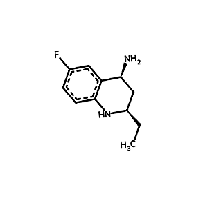 CC[C@@H]1C[C@H](N)c2cc(F)ccc2N1